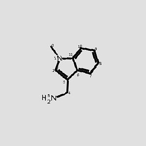 Cn1cc(CN)c2ccccc21